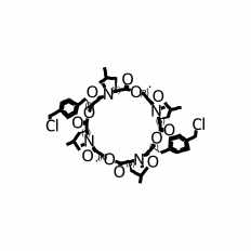 CC(C)C[C@H]1C(=O)O[C@H](Cc2ccc(CCl)cc2)C(=O)N(C)[C@@H](CC(C)C)C(=O)O[C@H](C)C(=O)N(C)[C@@H](CC(C)C)C(=O)O[C@H](Cc2ccc(CCl)cc2)C(=O)N(C)[C@@H](CC(C)C)C(=O)O[C@H](C)C(=O)N1C